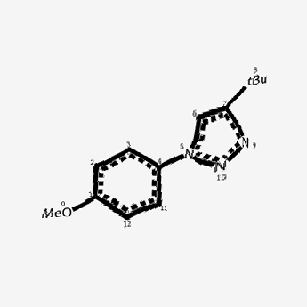 COc1ccc(-n2cc(C(C)(C)C)nn2)cc1